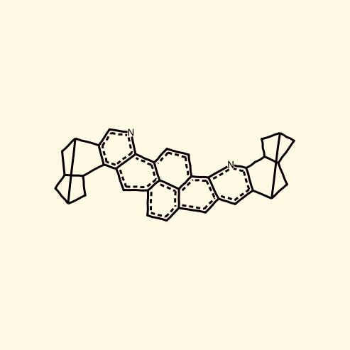 c1nc2c(cc3ccc4cc5cc6c(nc5c5ccc2c3c45)C2CC3CC2CC63)c2c1C1CC3CC1CC23